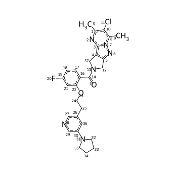 Cc1nc2c3c(nn2c(C)c1Cl)CN(C(=O)c1ccc(F)cc1OCCc1cncc(N2CCCC2)c1)C3